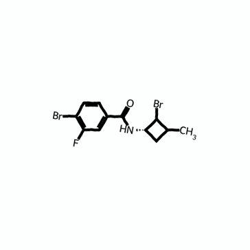 CC1C[C@H](NC(=O)c2ccc(Br)c(F)c2)C1Br